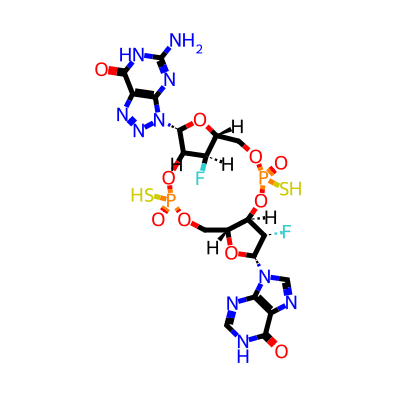 Nc1nc2c(nnn2[C@@H]2O[C@@H]3COP(=O)(S)O[C@H]4[C@H](F)[C@H](n5cnc6c(=O)[nH]cnc65)O[C@@H]4COP(=O)(S)O[C@@H]2[C@@H]3F)c(=O)[nH]1